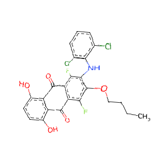 CCCCOc1c(F)c2c(c(F)c1Nc1c(Cl)cccc1Cl)C(=O)c1c(O)ccc(O)c1C2=O